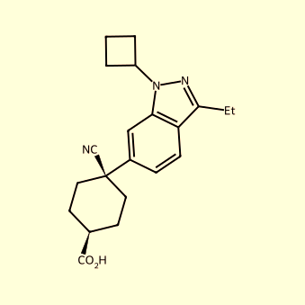 CCc1nn(C2CCC2)c2cc([C@]3(C#N)CC[C@@H](C(=O)O)CC3)ccc12